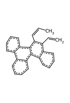 C=Cc1c(/C=C\C)c2c3ccccc3c3ccccc3c2c2ccccc12